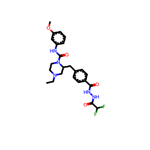 CCN1CCN(C(=O)Nc2cccc(OC)c2)C(Cc2ccc(C(=O)NNC(=O)C(F)F)cc2)C1